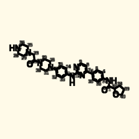 O=C(Nc1ccc(-c2ccnc(Nc3ccc(N4CCN(C(=O)CN5CCNCC5)CC4)cc3)n2)cc1)C1CCCO1